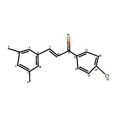 Cc1cc(C)cc(C=CC(=O)c2ccc(Cl)cc2)c1